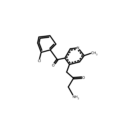 Cc1cc(CC(=O)CN)c(C(=O)C2=CC=C=C=C2Cl)cn1